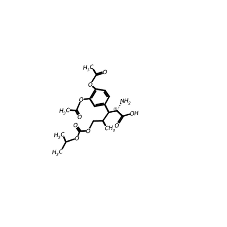 CC(=O)Oc1ccc(C(C(C)COC(=O)OC(C)C)[C@H](N)C(=O)O)cc1OC(C)=O